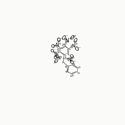 O=[N+]([O-])c1cc(C(Cc2ccccc2)([N+](=O)[O-])[N+](=O)[O-])c([N+](=O)[O-])c([N+](=O)[O-])c1[N+](=O)[O-]